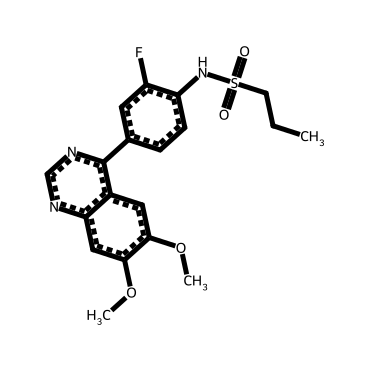 CCCS(=O)(=O)Nc1ccc(-c2ncnc3cc(OC)c(OC)cc23)cc1F